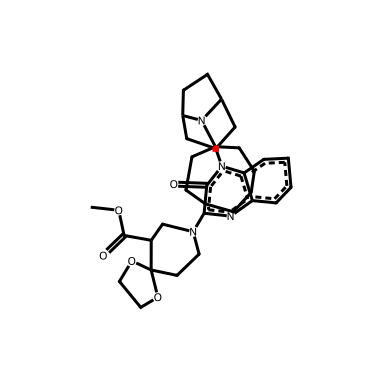 COC(=O)C1CN(c2nc3ccccc3n(C3CC4CCC(C3)N4C3CCCCCCC3)c2=O)CCC12OCCO2